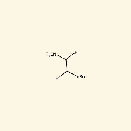 CCCCC(F)C(F)NC(F)(F)F